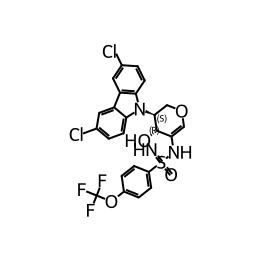 N=S(=O)(NC1=COC[C@H](n2c3ccc(Cl)cc3c3cc(Cl)ccc32)[C@H]1O)c1ccc(OC(F)(F)F)cc1